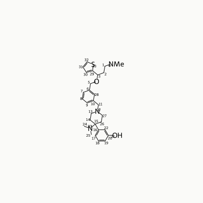 CNCCC(OCc1cccc(CN2CCC(c3cccc(O)c3)(N(C)C)CC2)c1)c1cccs1